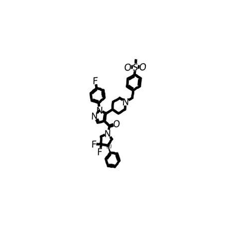 CS(=O)(=O)c1ccc(CN2CCC(c3c(C(=O)N4C[C@@H](c5ccccc5)C(F)(F)C4)cnn3-c3ccc(F)cc3)CC2)cc1